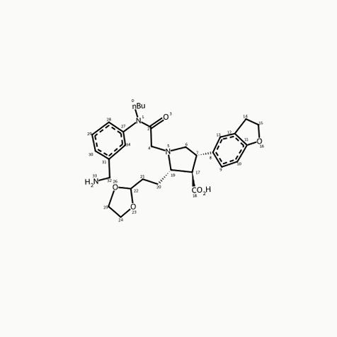 CCCCN(C(=O)CN1C[C@H](c2ccc3c(c2)CCO3)[C@@H](C(=O)O)[C@@H]1CCC1OCCO1)c1cccc(CN)c1